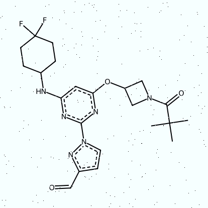 CC(C)(C)C(=O)N1CC(Oc2cc(NC3CCC(F)(F)CC3)nc(-n3ccc(C=O)n3)n2)C1